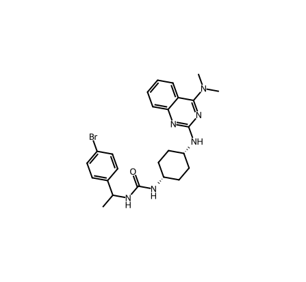 CC(NC(=O)N[C@H]1CC[C@@H](Nc2nc(N(C)C)c3ccccc3n2)CC1)c1ccc(Br)cc1